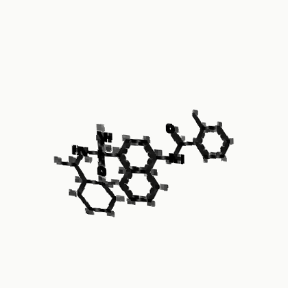 Cc1ccccc1C(=O)Nc1ccc(S(=N)(=O)NC(C)C2CCCCC2)c2ccccc12